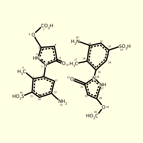 Cc1c(-n2[nH]c(OC(=O)O)cc2=O)cc(N)cc1S(=O)(=O)O.Cc1c(N)cc(S(=O)(=O)O)cc1-n1[nH]c(OC(=O)O)cc1=O